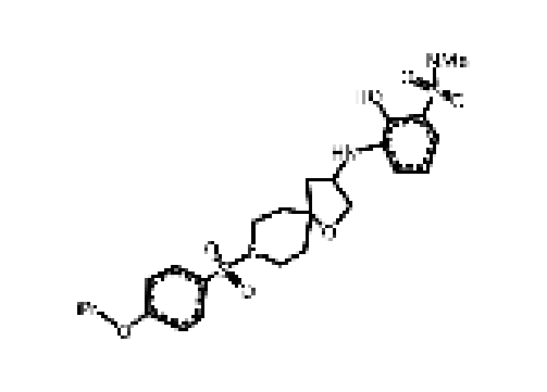 CNS(=O)(=O)c1cccc(NC2COC3(CCN(S(=O)(=O)c4ccc(OC(C)C)cc4)CC3)C2)c1O